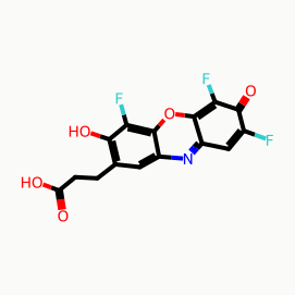 O=C(O)CCc1cc2nc3cc(F)c(=O)c(F)c-3oc2c(F)c1O